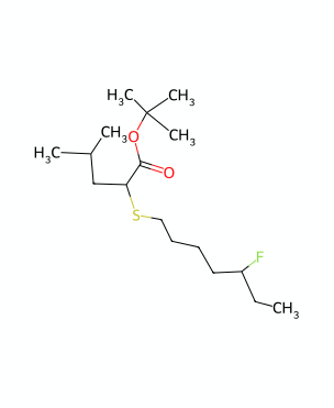 CCC(F)CCCCSC(CC(C)C)C(=O)OC(C)(C)C